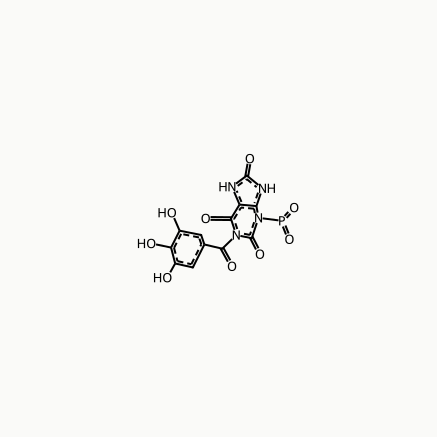 O=C(c1cc(O)c(O)c(O)c1)n1c(=O)c2[nH]c(=O)[nH]c2n(P(=O)=O)c1=O